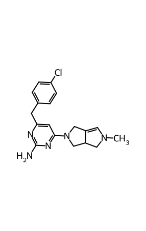 CN1C=C2CN(c3cc(Cc4ccc(Cl)cc4)nc(N)n3)CC2C1